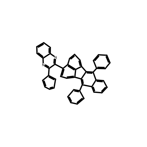 c1ccc(-c2nc3ccccc3nc2-c2ccc3c4c(cccc24)-c2c-3c(-c3ccccc3)c3ccccc3c2-c2ccccc2)cc1